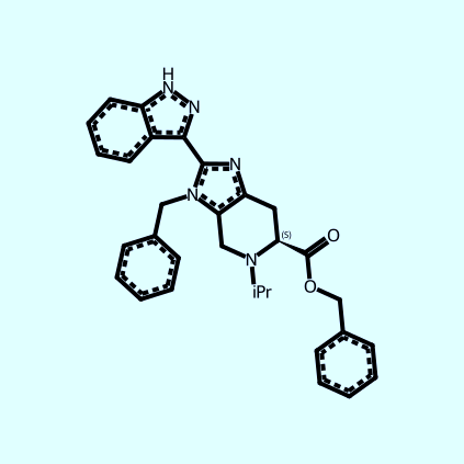 CC(C)N1Cc2c(nc(-c3n[nH]c4ccccc34)n2Cc2ccccc2)C[C@H]1C(=O)OCc1ccccc1